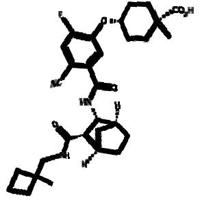 CC1(CNC(=O)[C@H]2[C@@H]3CC[C@@H](C3)[C@H]2NC(=O)c2cc(O[C@H]3CC[C@@](C)(C(=O)O)CC3)c(F)cc2C#N)CCC1